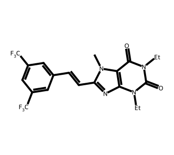 CCn1c(=O)c2c(nc(C=Cc3cc(C(F)(F)F)cc(C(F)(F)F)c3)n2C)n(CC)c1=O